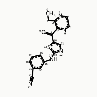 CCc1nccnc1C(=O)c1cnc(Nc2cccc(C#N)c2)s1